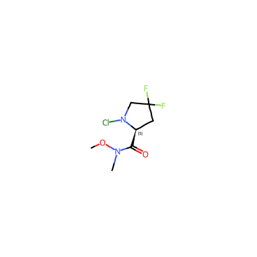 CON(C)C(=O)[C@@H]1CC(F)(F)CN1Cl